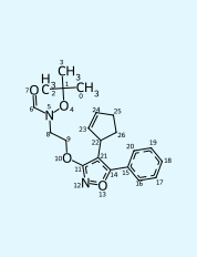 CC(C)(C)ON(C=O)CCOc1noc(-c2ccccc2)c1C1C=CCC1